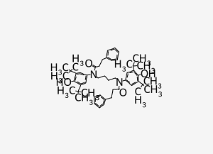 CC(C)(C)c1cc(N(CCCCN(C(=O)CCc2ccccc2)c2cc(C(C)(C)C)c(O)c(C(C)(C)C)c2)C(=O)CCc2ccccc2)cc(C(C)(C)C)c1O